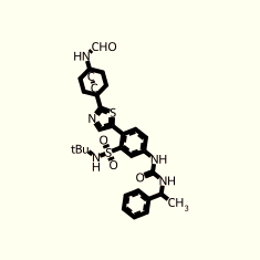 CC(NC(=O)Nc1ccc(-c2cnc(C34CCC(NC=O)(CC3)CC4)s2)c(S(=O)(=O)NC(C)(C)C)c1)c1ccccc1